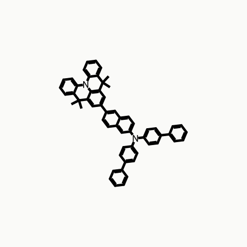 CC1(C)c2ccccc2N2c3ccccc3C(C)(C)c3cc(-c4ccc5cc(N(c6ccc(-c7ccccc7)cc6)c6ccc(-c7ccccc7)cc6)ccc5c4)cc1c32